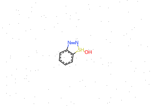 O[SH]1N=Nc2ccccc21